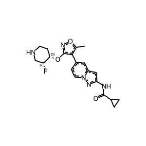 Cc1onc(O[C@H]2CCNC[C@H]2F)c1-c1ccn2nc(NC(=O)C3CC3)cc2c1